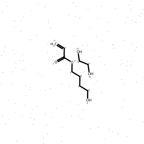 C=CC(=O)OCCCCO.OCCO